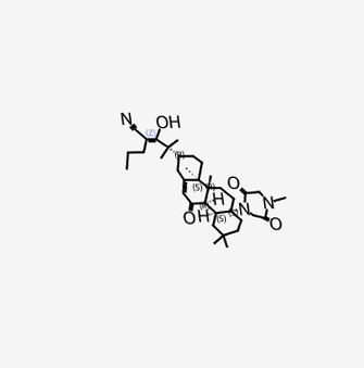 CCC/C(C#N)=C(/O)C(C)(C)[C@@H]1CC[C@]2(C)C(=CC(=O)[C@@H]3[C@@H]4CC(C)(C)CC[C@]4(N4CC(=O)N(C)CC4=O)CC[C@]32C)C1